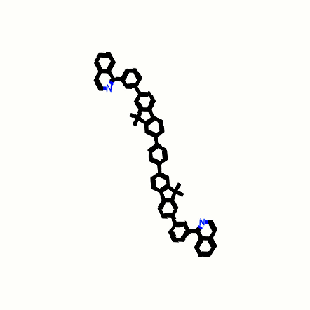 CC1(C)c2cc(-c3ccc(-c4ccc5c(c4)C(C)(C)c4cc(-c6cccc(-c7nccc8ccccc78)c6)ccc4-5)cc3)ccc2-c2ccc(-c3cccc(-c4nccc5ccccc45)c3)cc21